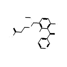 CC[C@@H](NCCC(N)=O)c1ccc(Cl)c(C(=O)c2cccnc2)c1F